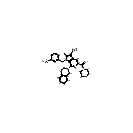 COc1cccc(Cn2c(C)c(C)c3cc(C(=O)N4CCOCC4)nc(N4CCc5ccccc5C4)c32)c1.Cl